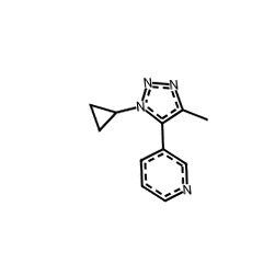 Cc1nnn(C2CC2)c1-c1cccnc1